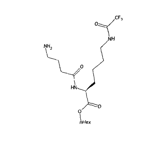 CCCCCCOC(=O)[C@H](CCCCNC(=O)C(F)(F)F)NC(=O)CCCN